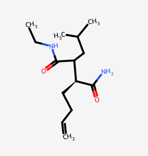 C=CCC[C@H](C(N)=O)C(CC(C)C)C(=O)NCC